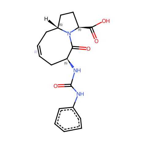 O=C(Nc1ccccc1)N[C@H]1C/C=C\C[C@@H]2CC[C@@H](C(=O)O)N2C1=O